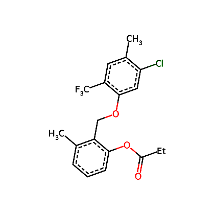 CCC(=O)Oc1cccc(C)c1COc1cc(Cl)c(C)cc1C(F)(F)F